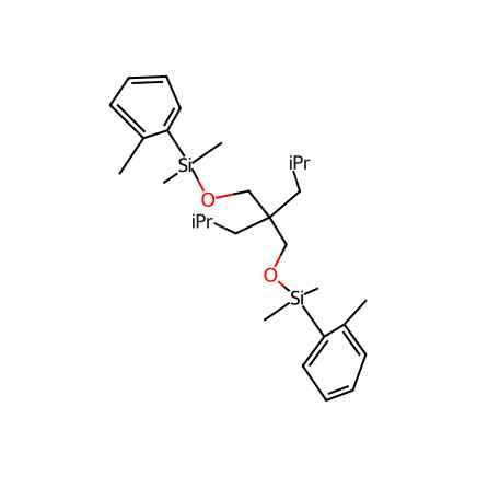 Cc1ccccc1[Si](C)(C)OCC(CO[Si](C)(C)c1ccccc1C)(CC(C)C)CC(C)C